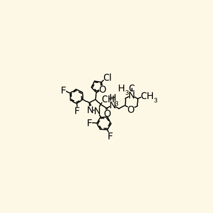 CC1COC(CNC(=O)C2(C)C(c3ccc(Cl)o3)C(c3ccc(F)cc3F)=NN2c2ccc(F)cc2F)CN1C